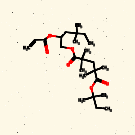 C=CC(=O)OC(COC(=O)C(C)(C)CC(C)(C)C(=O)OC(C)(C)CC)CC(C)(C)CC